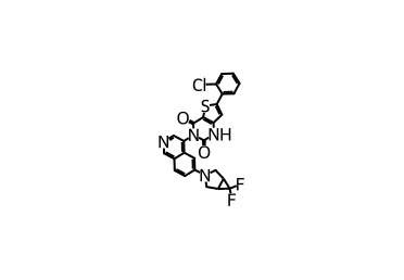 O=c1[nH]c2cc(-c3ccccc3Cl)sc2c(=O)n1-c1cncc2ccc(N3CC4C(C3)C4(F)F)cc12